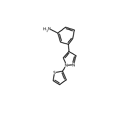 Nc1cccc(-c2cnn(-c3cccs3)c2)c1